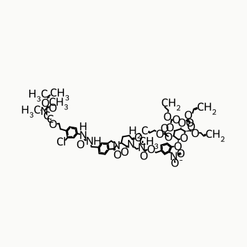 C=CCOC(=O)O[C@@H]1[C@@H](OC(=O)OCC=C)[C@H](Oc2ccc(COC(=O)N(C)CN3C(=O)CCC(N4Cc5cc(CNC(=O)Nc6ccc(CCOCCN(C)C(=O)OC(C)(C)C)c(Cl)c6)ccc5C4=O)C3=O)cc2[N+](=O)[O-])O[C@H](C(=O)OCC=C)[C@H]1OC(=O)OCC=C